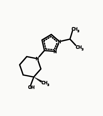 CC(C)n1ccc(N2CCC[C@](C)(O)C2)n1